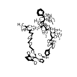 CN[C@H](C(=O)N[C@H](C(=O)N(C)[C@H](/C=C(\C)C(=O)NS(=O)(=O)c1ccc(NC(=O)[C@@H]2CCCN2[C@H](COCCOCCOCCC(=O)NC(C)C)N2C(=O)C=CC2=O)cc1)C(C)C)C(C)(C)C)C(C)(C)c1ccccc1